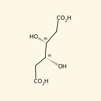 O=C(O)C[C@@H](O)[C@H](O)CC(=O)O